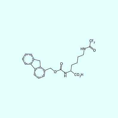 O=C(NC(CCCCNC(=O)C(F)(F)F)C(=O)O)OCc1cccc2c1Cc1ccccc1-2